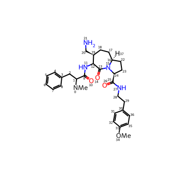 CNC(Cc1ccccc1)C(=O)NC1C(=O)N2[C@@H](CC[C@@H]1CN)CC[C@H]2C(=O)NCCc1ccc(OC)cc1